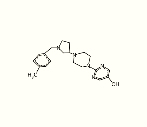 Cc1ccc(CN2CCC(N3CCN(c4ncc(O)cn4)CC3)C2)cc1